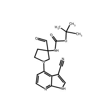 CC(C)(C)OC(=O)NC1(C=O)CCN(c2ccnc3[nH]cc(C#N)c23)C1